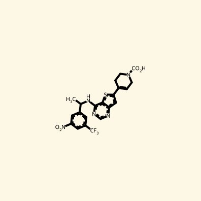 CC(Nc1ncnc2cc(C3=CCN(C(=O)O)CC3)sc12)c1cc([N+](=O)[O-])cc(C(F)(F)F)c1